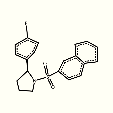 O=S(=O)(c1ccc2ccccc2c1)N1CCC[C@H]1c1ccc(F)cc1